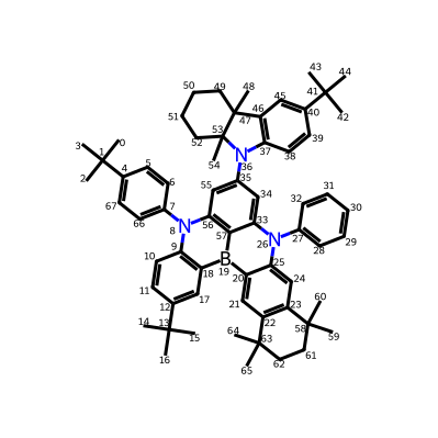 CC(C)(C)c1ccc(N2c3ccc(C(C)(C)C)cc3B3c4cc5c(cc4N(c4ccccc4)c4cc(N6c7ccc(C(C)(C)C)cc7C7(C)CCCCC67C)cc2c43)C(C)(C)CCC5(C)C)cc1